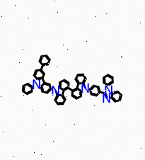 c1ccc(-c2ccc3c(c2)c2cc(-n4c5ccccc5c5c(-c6cccc7c6c6ccccc6n7-c6ccc(-c7nc8ccccc8n7-c7ccccc7)cc6)cccc54)ccc2n3-c2ccccc2)cc1